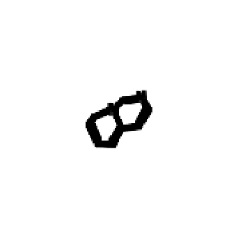 [C]1=NC=CC2=CC=CCN12